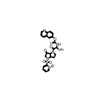 CCCC(NC(=O)Oc1ccc2ncccc2c1)C(=O)N1CCC2C1C(=O)CN2S(=O)(=O)c1cccc[n+]1[O-]